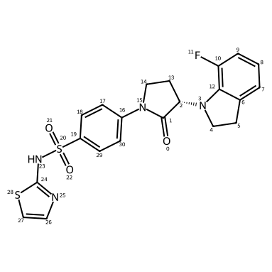 O=C1[C@@H](N2CCc3cccc(F)c32)CCN1c1ccc(S(=O)(=O)Nc2nccs2)cc1